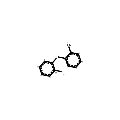 N#Cc1[c]cccc1Oc1ccccc1Cl